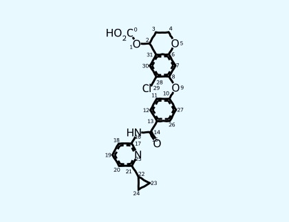 O=C(O)OC1CCOc2cc(Oc3ccc(C(=O)Nc4cccc(C5CC5)n4)cc3)c(Cl)cc21